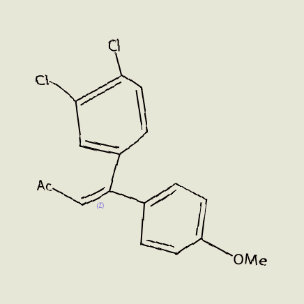 COc1ccc(/C(=C/C(C)=O)c2ccc(Cl)c(Cl)c2)cc1